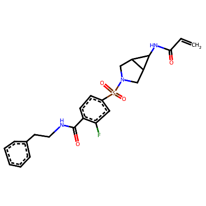 C=CC(=O)NC1C2CN(S(=O)(=O)c3ccc(C(=O)NCCc4ccccc4)c(F)c3)CC21